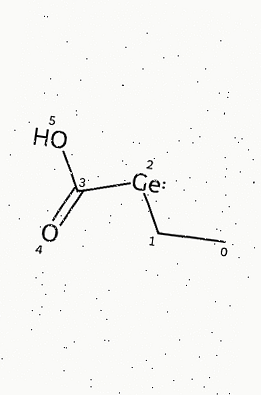 C[CH2][Ge][C](=O)O